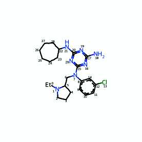 CCN1CCCC1CN(c1cccc(Cl)c1)c1nc(N)nc(NC2CCCCCC2)n1